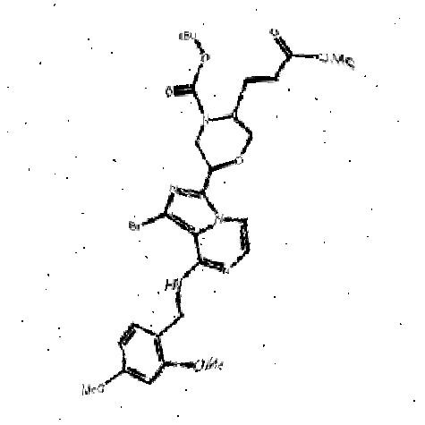 COC(=O)CCC1COC(c2nc(Br)c3c(NCc4ccc(OC)cc4OC)nccn23)CN1C(=O)OC(C)(C)C